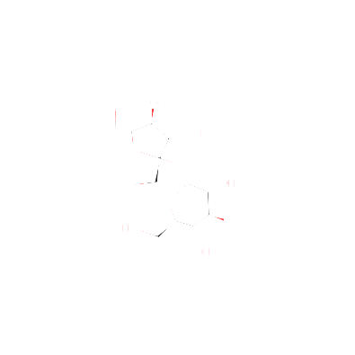 O.OC[C@H]1O[C@@](CO)(O[C@H]2O[C@H](CO)[C@@H](O)[C@H](O)[C@H]2O)[C@@H](O)[C@@H]1O.[Fe]